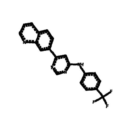 FC(F)(F)c1ccc(Nc2cc(-c3ccc4cccnc4c3)ncn2)cc1